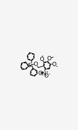 COc1cc([N+](=O)[O-])c(CO[Si](c2ccccc2)(c2ccccc2)c2ccccc2)c(OC)c1OC